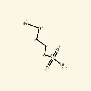 CC(C)OCCCS(N)(=O)=O